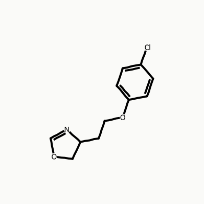 Clc1ccc(OCCC2COC=N2)cc1